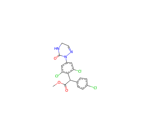 COC(=O)C(c1ccc(Cl)cc1)c1c(Cl)cc(N2N=CCNC2=O)cc1Cl